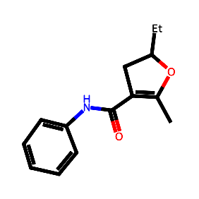 CCC1CC(C(=O)Nc2ccccc2)=C(C)O1